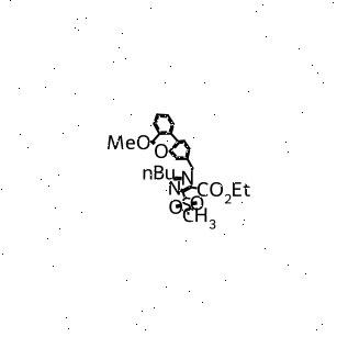 CCCCc1nc(S(C)(=O)=O)c(C(=O)OCC)n1Cc1ccc(-c2ccccc2C(=O)OC)cc1